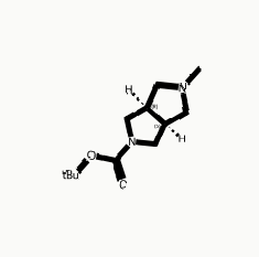 CN1C[C@@H]2CN(C(=O)OC(C)(C)C)C[C@@H]2C1